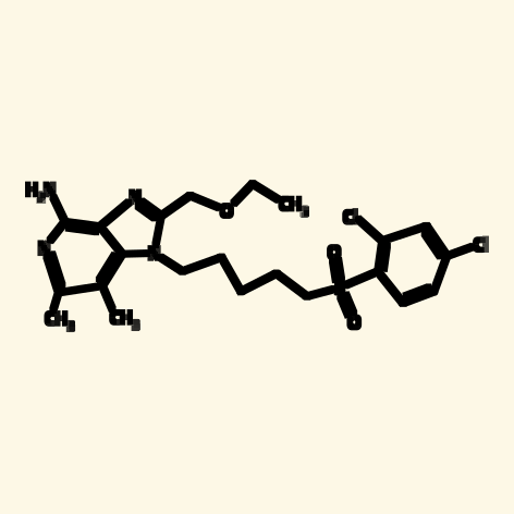 CCOCc1nc2c(N)nc(C)c(C)c2n1CCCCCS(=O)(=O)c1ccc(Cl)cc1Cl